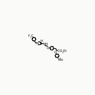 CCOC(=O)[C@H](Cc1ccc(OCCN[C@H]2C3CN(Cc4ccc(C(F)(F)F)cc4)C[C@@H]32)cc1)Oc1ccc(C(C)(C)C)cc1